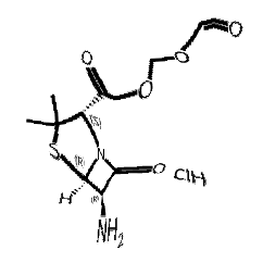 CC1(C)S[C@@H]2[C@H](N)C(=O)N2[C@H]1C(=O)OCOC=O.Cl